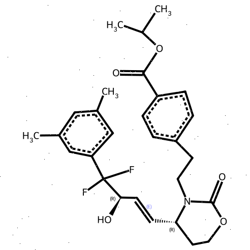 Cc1cc(C)cc(C(F)(F)[C@H](O)/C=C/[C@H]2CCOC(=O)N2CCc2ccc(C(=O)OC(C)C)cc2)c1